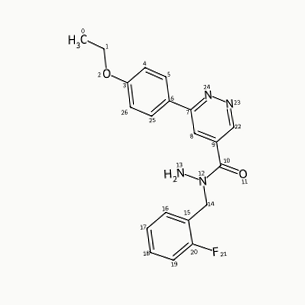 CCOc1ccc(-c2cc(C(=O)N(N)Cc3ccccc3F)cnn2)cc1